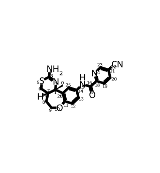 C[C@]12N=C(N)SC[C@H]1CCOc1ccc(NC(=O)c3ccc(C#N)cn3)cc12